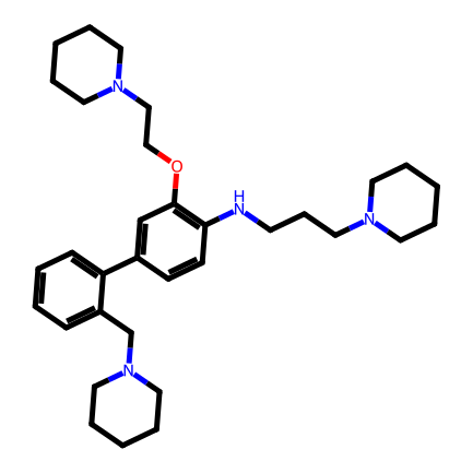 c1ccc(-c2ccc(NCCCN3CCCCC3)c(OCCN3CCCCC3)c2)c(CN2CCCCC2)c1